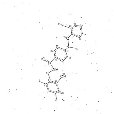 Cc1cc(C)c(CNC(=O)c2ccc(C(C)Oc3ccccc3F)cc2)c(O)n1